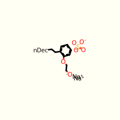 CCCCCCCCCCCCc1ccccc1OCC[O].O=S(=O)([O-])[O-].[Na+].[Na+]